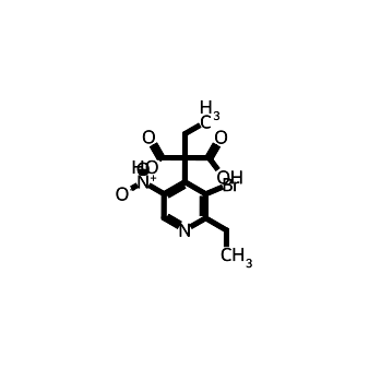 CCc1ncc([N+](=O)[O-])c(C(CC)(C(=O)O)C(=O)O)c1Br